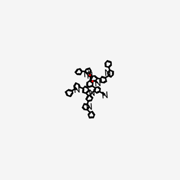 N#Cc1cccc(-c2c(-n3c4ccc(-c5cccc(-c6ccccc6)n5)cc4c4cc(-c5cccc(-c6ccccc6)n5)ccc43)cc(C#N)cc2-n2c3ccc(-c4cccc(-c5ccccc5)n4)cc3c3cc(-c4cccc(-c5ccccc5)n4)ccc32)c1